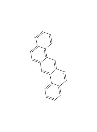 [c]1cccc2c1ccc1cc3c(ccc4ccccc43)cc12